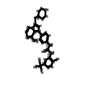 Nc1ncnn2c(CN3CCOCC3)cc(-c3ccc(NC(=O)Nc4cc(C(F)(F)F)ccc4I)cc3)c12